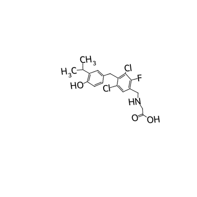 CC(C)c1cc(Cc2c(Cl)cc(CNCC(=O)O)c(F)c2Cl)ccc1O